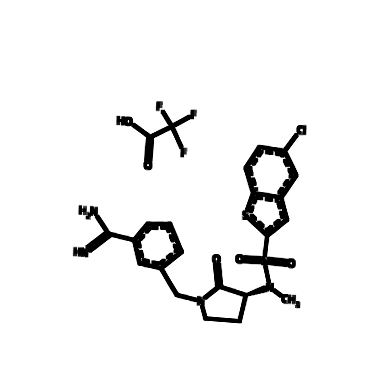 CN([C@H]1CCN(Cc2cccc(C(=N)N)c2)C1=O)S(=O)(=O)c1cc2cc(Cl)ccc2s1.O=C(O)C(F)(F)F